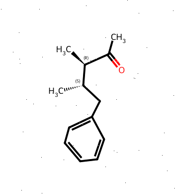 CC(=O)[C@H](C)[C@@H](C)Cc1ccccc1